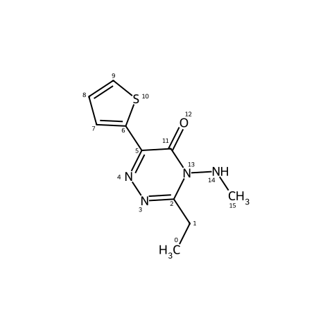 CCc1nnc(-c2cccs2)c(=O)n1NC